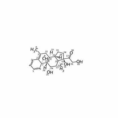 CC1=C2C=CC=C[C@]2(C)[C@@H]2[C@@H](C1)[C@@H]1CC[C@](O)(C(=O)CO)[C@@]1(C)C[C@@H]2O